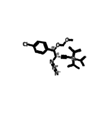 COCO[C@H](c1ccc(Cl)cc1)[C@H](C#C[Si](C(C)C)(C(C)C)C(C)C)N=[N+]=[N-]